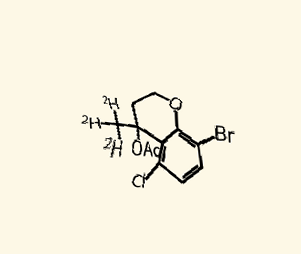 [2H]C([2H])([2H])C1(OC(C)=O)CCOc2c(Br)ccc(Cl)c21